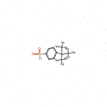 [2H]C([2H])([2H])C(c1ccc(S(=O)(=O)Cl)cc1)(C([2H])([2H])[2H])C([2H])([2H])[2H]